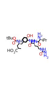 CC(C)[C@H](N)C(=O)N[C@@H](CCCNC(N)=O)C(=O)Nc1cc(C[C@@H](C[C@H](C)C(=O)O)NC(=O)OC(C)(C)C)ccc1O